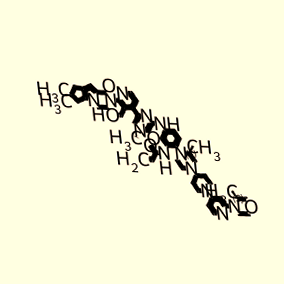 C=CC(=O)Nc1cc(Nc2nc(-c3ccnc(N4CCn5c(cc6c5CC(C)(C)C6)C4=O)c3CO)cn(C)c2=O)ccc1N1CCN(C2CCN(c3ccnc(N4CCOC[C@@H]4C)c3)CC2)C[C@@H]1C